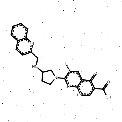 O=C(O)c1c[nH]c2nc(N3CCC(NCc4ccc5ccccc5n4)C3)c(F)cc2c1=O